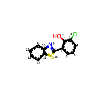 Oc1c(Cl)cccc1-c1nc2ccccc2s1